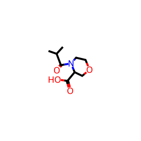 CC(C)C(=O)N1CCOCC1C(=O)O